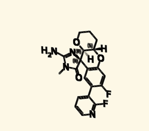 CN1C(=O)[C@@]2(N=C1N)c1cc(-c3cccnc3F)c(F)cc1O[C@H]1CCCO[C@@H]12